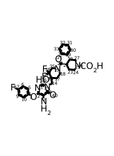 Nc1c(Oc2ccc(F)cc2)ncn(C[C@@]2(O)CCN(C(=O)[C@@H]3CCN(C(=O)O)C[C@H]3c3ccccc3)CC2(F)F)c1=O